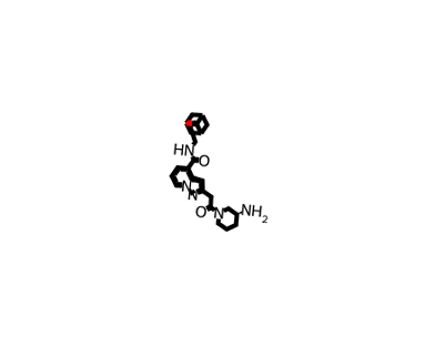 N[C@@H]1CCCN(C(=O)Cc2cc3c(C(=O)NCC4=C5C6CC(C4)CC5C6)cccn3n2)C1